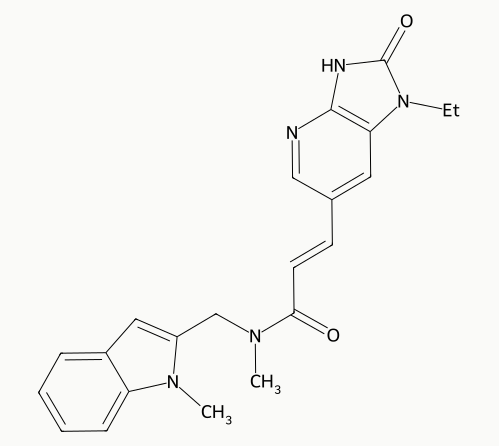 CCn1c(=O)[nH]c2ncc(C=CC(=O)N(C)Cc3cc4ccccc4n3C)cc21